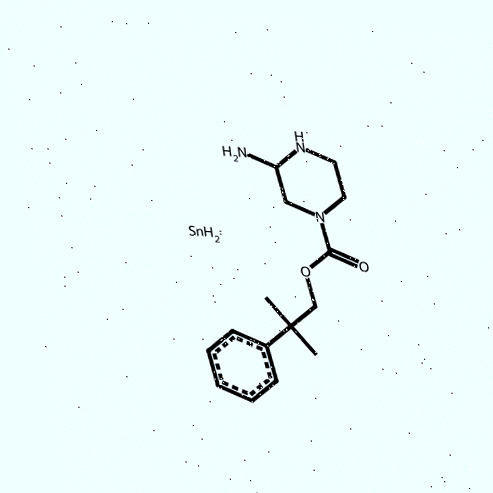 CC(C)(COC(=O)N1CCNC(N)C1)c1ccccc1.[SnH2]